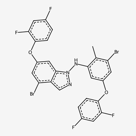 Cc1c(Br)cc(Oc2ccc(F)cc2F)cc1Nn1ncc2c(Br)cc(Oc3ccc(F)cc3F)cc21